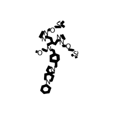 COCCN(Cc1ccc(CN2CCC3(CCN(C4CCCCC4)CC3)C2)cc1)CC(Cc1nccn1COCC[Si](C)(C)C)Cc1nccn1COCC[Si](C)(C)C